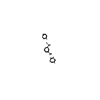 O=C(COc1ccccc1)c1cccc(C(=O)Nc2ccc(Cl)cc2C(=O)O)c1